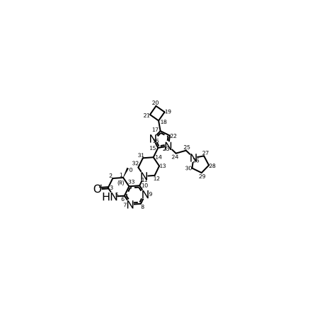 C[C@@H]1CC(=O)Nc2ncnc(N3CCC(c4nc(C5CCC5)cn4CCN4CCCC4)CC3)c21